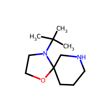 CC(C)(C)N1CCOC12CCCNC2